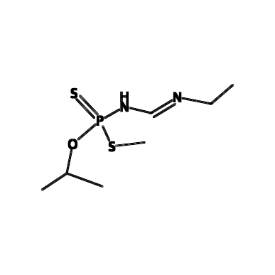 CCN=CNP(=S)(OC(C)C)SC